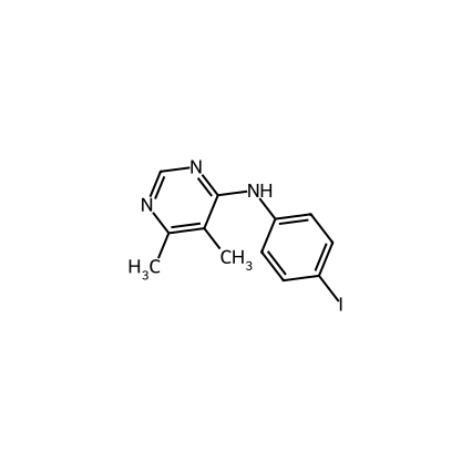 Cc1ncnc(Nc2ccc(I)cc2)c1C